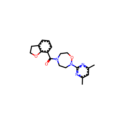 Cc1cc(C)nc(N2CCN(C(=O)c3cccc4c3OCC4)CCO2)n1